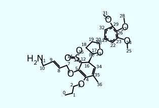 CCCOC1=C(OCC=CCN)C(=S(=O)=O)C([C@H]2CC[C@H](c3cc(OC)c(OC)c(OC)c3)O2)C=C1C